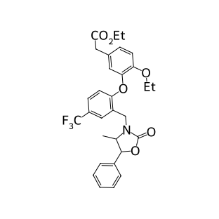 CCOC(=O)Cc1ccc(OCC)c(Oc2ccc(C(F)(F)F)cc2CN2C(=O)OC(c3ccccc3)C2C)c1